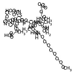 COCCOCCOCCOCCOCCOCCOCCOCCN1C=C(COC(=O)N(C)Cc2cc(NC(=O)[C@H](CCCNC(N)=O)NC(=O)[C@@H](NC(=O)CCOCCN3C(=O)C=CC3=O)C(C)C)ccc2COc2cc(-c3sc4ncnc(O[C@H](Cc5ccccc5OCc5ccnc(-c6ccccc6OC)n5)C(=O)O)c4c3-c3ccc(OCCN4CC[N+](C)(CCCS(=O)(=O)O)CC4)c(Cl)c3C)ccc2F)NN1